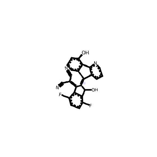 N#CC(C#N)=C1/C(=C2/c3cccnc3-c3c(O)cccc32)C(O)c2c(F)ccc(F)c21